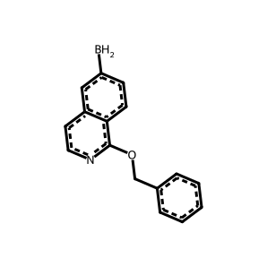 Bc1ccc2c(OCc3ccccc3)nccc2c1